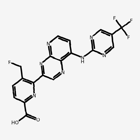 O=C(O)c1ccc(CF)c(-c2cnc3c(Nc4ncc(C(F)(F)F)cn4)ccnc3n2)n1